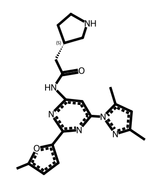 Cc1cc(C)n(-c2cc(NC(=O)C[C@@H]3CCNC3)nc(-c3ccc(C)o3)n2)n1